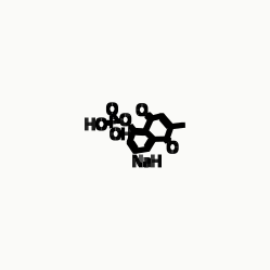 CC1=CC(=O)c2c(OP(=O)(O)O)cccc2C1=O.[NaH]